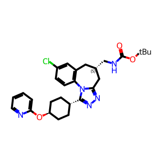 CC(C)(C)OC(=O)NC[C@H]1Cc2cc(Cl)ccc2-n2c(nnc2[C@H]2CC[C@H](Oc3ccccn3)CC2)C1